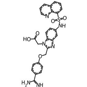 N=C(N)c1ccc(OCc2nc3cc(NS(=O)(=O)c4cccc5cccnc45)ccc3n2CC(=O)O)cc1